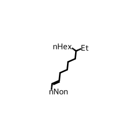 [CH2]CCCCCCCCC=CCCCCC(CC)CCCCC[CH2]